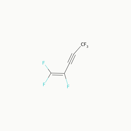 FC(F)=C(F)C#CC(F)(F)F